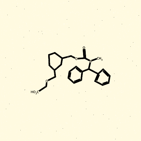 CN(C(=O)OCC1CCCC(COCC(=O)O)C1)C(c1ccccc1)c1ccccc1